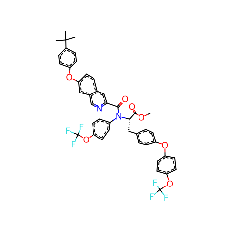 COC(=O)[C@H](Cc1ccc(Oc2ccc(OC(F)(F)F)cc2)cc1)N(C(=O)c1cc2ccc(Oc3ccc(C(C)(C)C)cc3)cc2cn1)c1ccc(OC(F)(F)F)cc1